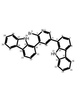 Brc1ncc(-c2cccc3c2[nH]c2ccccc23)cc1-c1cccc2c1[nH]c1ccccc12